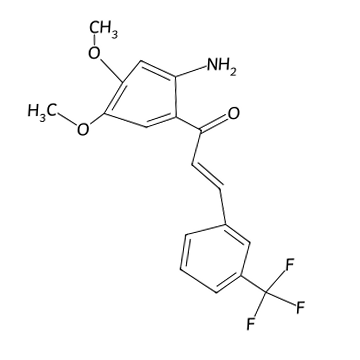 COc1cc(N)c(C(=O)/C=C/c2cccc(C(F)(F)F)c2)cc1OC